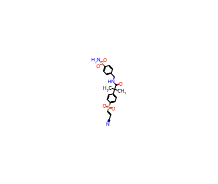 CC(C)(C(=O)NCc1ccc(S(N)(=O)=O)cc1)c1ccc(S(=O)(=O)C=CC#N)cc1